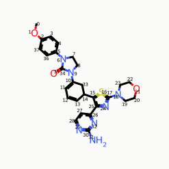 COc1ccc(N2CCN(C3=CC=CC(c4sc(N5CCOCC5)nc4-c4ccnc(N)n4)C3)C2=O)cc1